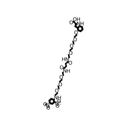 O=C(CCC(=O)NCCOCCOCCOCCOc1cccc2[nH]c(C(=O)O)cc12)NCCOCCOCCOCCNc1ccc([N+](=O)[O-])cc1[N+](=O)[O-]